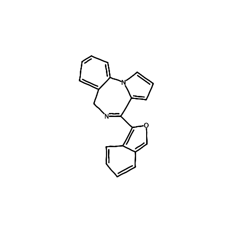 c1ccc2c(c1)CN=C(c1occ3ccccc13)c1cccn1-2